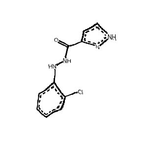 O=C(NNc1ccccc1Cl)c1cc[nH]n1